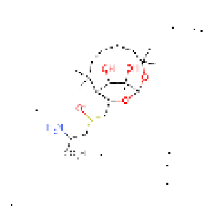 CC1(C)CCCCC(C)(C)C2C(C[S+]([O-])CC(N)C(=O)O)OC(O1)C(O)C2O